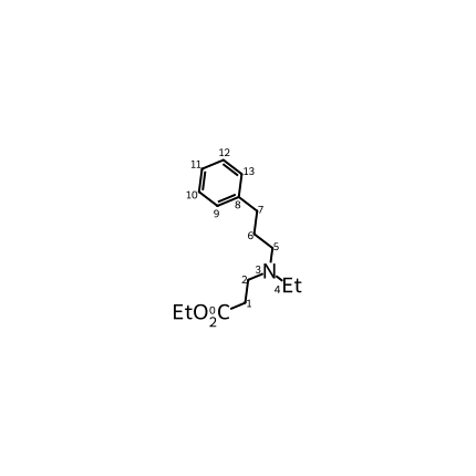 CCOC(=O)CCN(CC)CCCc1ccccc1